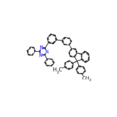 Cc1ccc(C2(c3ccc(C)cc3)c3ccccc3-c3cc(-c4cccc(-c5cccc(-c6nc(-c7ccccc7)nc(-c7ccccc7)n6)c5)c4)ccc32)cc1